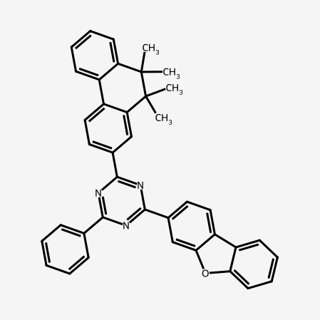 CC1(C)c2ccccc2-c2ccc(-c3nc(-c4ccccc4)nc(-c4ccc5c(c4)oc4ccccc45)n3)cc2C1(C)C